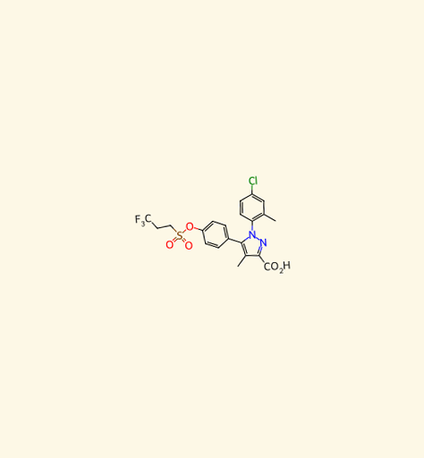 Cc1cc(Cl)ccc1-n1nc(C(=O)O)c(C)c1-c1ccc(OS(=O)(=O)CCC(F)(F)F)cc1